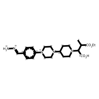 CCOC(=O)C(C)C(C(=O)O)N1CCC(N2CCN(c3ccc(C=NN)cc3)CC2)CC1